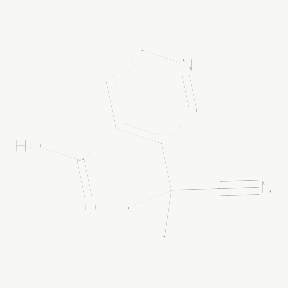 N#CC1(c2cnccc2C(=O)O)CC1